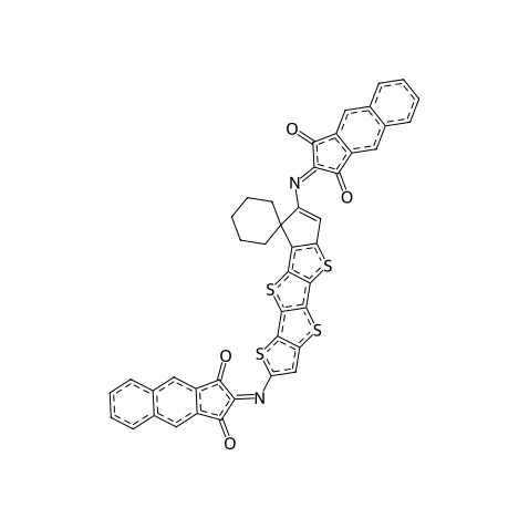 O=c1c(=NC2=Cc3sc4c(sc5c6sc(N=c7c(=O)c8cc9ccccc9cc8c7=O)cc6sc45)c3C23CCCCC3)c(=O)c2cc3ccccc3cc12